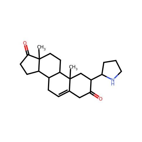 CC12CCC3C(CC=C4CC(=O)C(C5CCCN5)CC43C)C1CCC2=O